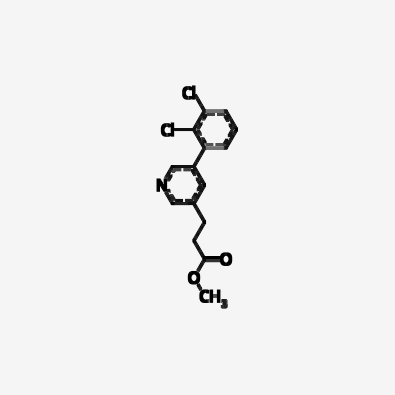 COC(=O)CCc1cncc(-c2cccc(Cl)c2Cl)c1